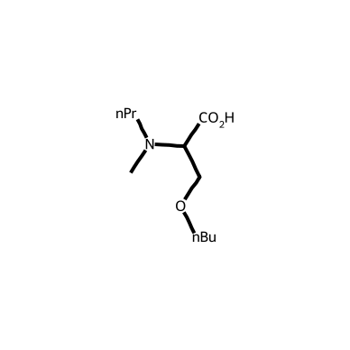 CCCCOCC(C(=O)O)N(C)CCC